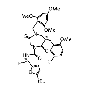 CC[C@@H](NC(=O)N1CC(=S)N(Cc2c(OC)cc(OC)cc2OC)C[C@@H](Cc2cc(Cl)ccc2OC)C1=O)c1ccc(C(C)(C)C)o1